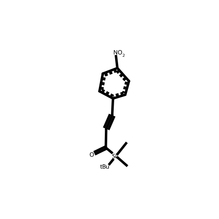 CC(C)(C)[Si](C)(C)C(=O)C#Cc1ccc([N+](=O)[O-])cc1